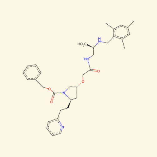 Cc1cc(C)c(CN[C@@H](CNC(=O)CO[C@@H]2C[C@@H](CCc3ccccn3)N(C(=O)OCc3ccccc3)C2)C(=O)O)c(C)c1